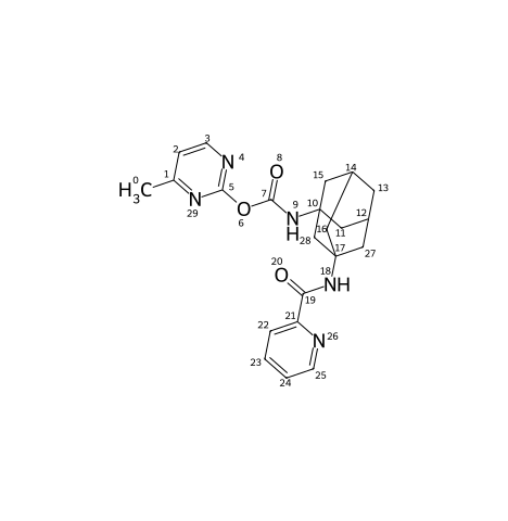 Cc1ccnc(OC(=O)NC23CC4CC(C2)CC(NC(=O)c2ccccn2)(C4)C3)n1